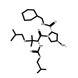 CC(C)COC(=O)N[C@@H](C(=O)N1C[C@H](N)C[C@H]1C(=O)NCC1CCCCC1)C(C)(C)SCC(C)C